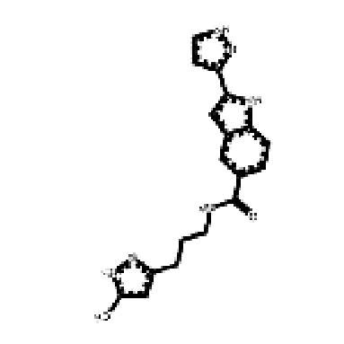 O=C(NCCCc1cc(O)[nH]n1)c1ccc2[nH]c(-c3cc[nH]n3)cc2c1